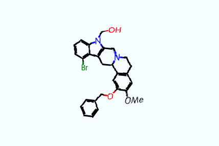 COc1cc2c(cc1OCc1ccccc1)C1Cc3c(n(CO)c4cccc(Br)c34)CN1CC2